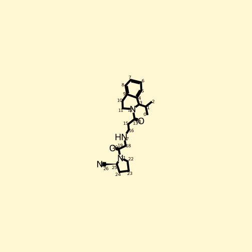 CC(C)C1c2ccccc2CCN1C(=O)CCNCC(=O)N1CCC[C@H]1C#N